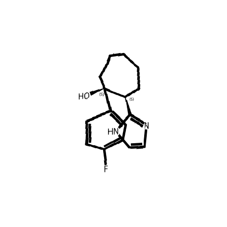 O[C@@]1(c2ccc(F)cc2)CCCCC[C@H]1c1ncc[nH]1